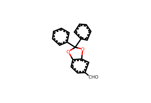 O=Cc1ccc2c(c1)OC(c1ccccc1)(c1ccccc1)O2